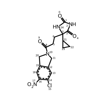 O=C1NC(=O)C(CCC(=O)N2Cc3cc(Cl)c([N+](=O)[O-])cc3C2)(C2CC2)N1